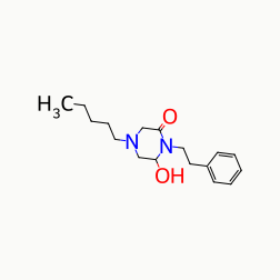 CCCCCN1CC(=O)N(CCc2ccccc2)C(O)C1